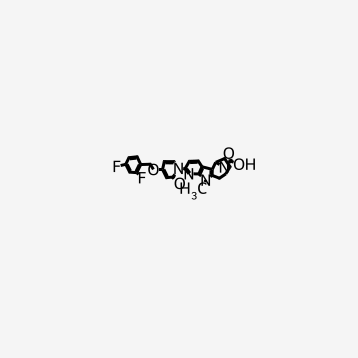 Cn1c2c(c3ccc(-n4ccc(OCc5ccc(F)cc5F)cc4=O)nc31)C1CCC(C2)N1C(=O)O